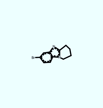 Brc1ccc2c(c1)nc1n2CCCC1